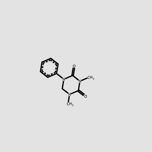 CN1CN(c2ccccc2)C(=O)N(C)C1=O